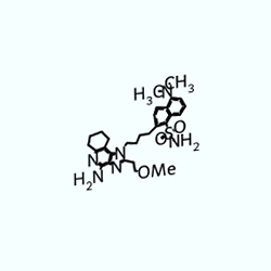 COCCc1nc2c(N)nc3c(c2n1CCCCc1ccc2c(N(C)C)cccc2c1S(N)(=O)=O)CCCC3